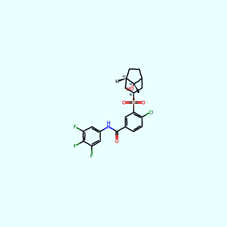 C[C@]1(O)C2CC[C@H]1C[C@H](S(=O)(=O)c1cc(C(=O)Nc3cc(F)c(F)c(F)c3)ccc1Cl)C2